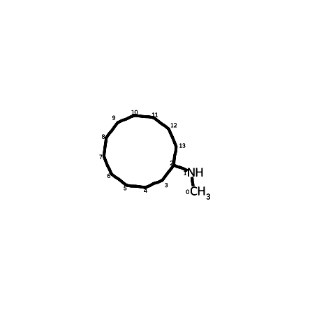 CNC1CCCCCCCCCCC1